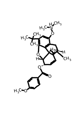 COc1ccc(C(=O)O[C@H]2C=C[C@H]3[C@H]4Cc5c(O[SiH](C)C)cc(C(C)(C)C)c6c5[C@@]3(CCN4C)[C@H]2O6)cc1